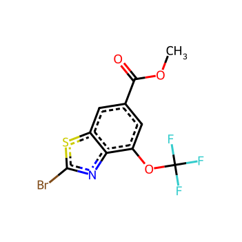 COC(=O)c1cc(OC(F)(F)F)c2nc(Br)sc2c1